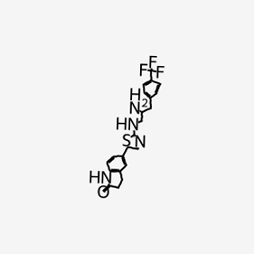 N[C@H](CNC1=NCC(c2ccc3c(c2)CCC(=O)N3)S1)Cc1ccc(C(F)(F)F)cc1